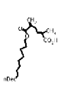 C=C(CC=C(C)C(=O)O)C(=O)OCCCCCCCCCCCCCCCCCC